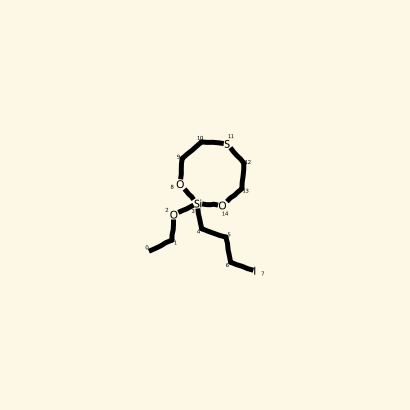 CCO[Si]1(CCCI)OCCSCCO1